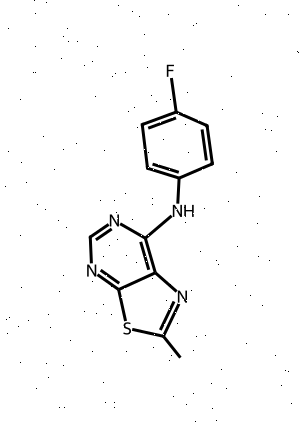 Cc1nc2c(Nc3ccc(F)cc3)ncnc2s1